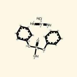 Cl.N=[N+]=N.O=P(O)(Oc1ccccc1)Oc1ccccc1